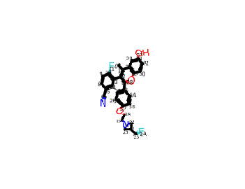 CC1=C(c2cc(C#N)ccc2F)C(c2ccc(OCCN3CC(CF)C3)cc2)Oc2ccc(O)cc21